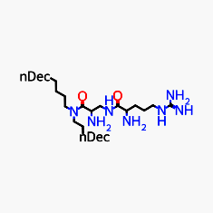 CCCCCCCCCCCCCCN(CCCCCCCCCCCC)C(=O)C(N)CNC(=O)C(N)CCCNC(=N)N